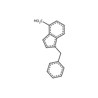 O=C(O)c1cccc2c1ccn2Cc1ccccc1